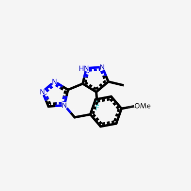 COc1ccc(Cn2cnnc2-c2[nH]nc(C)c2F)cc1